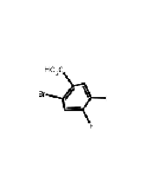 O=C(O)c1cc(I)c(F)cc1Br